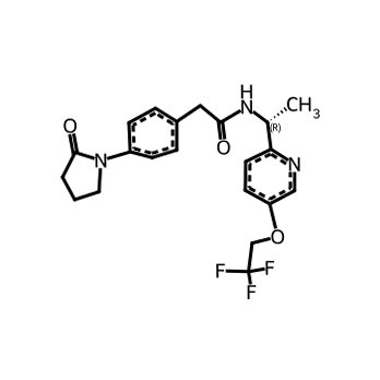 C[C@@H](NC(=O)Cc1ccc(N2CCCC2=O)cc1)c1ccc(OCC(F)(F)F)cn1